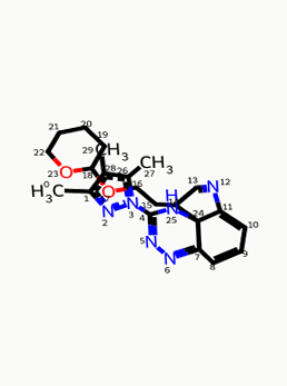 Cc1nn(C2=NN=C3C=CC=C4N=CC(CCOC5CCCCO5)C43N2)c(C)c1C